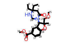 CCC1(CC)CC(=O)N(C2c3cc(C(=O)OC)ccc3OC2(C)COC)CN1